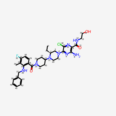 CC[C@H]1CN(c2nc(N)c(C(=O)NCCO)nc2Cl)CCN1C1CCN(C(=O)c2ccc(F)c(C)c2NCc2ccccc2)CC1